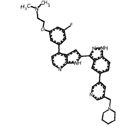 CN(C)CCOc1cc(F)cc(-c2ccnc3[nH]c(-c4n[nH]c5ccc(-c6cncc(CN7CCCCC7)c6)cc45)cc23)c1